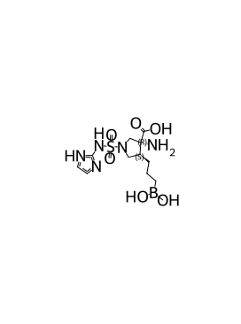 N[C@@]1(C(=O)O)CN(S(=O)(=O)Nc2ncc[nH]2)C[C@@H]1CCCB(O)O